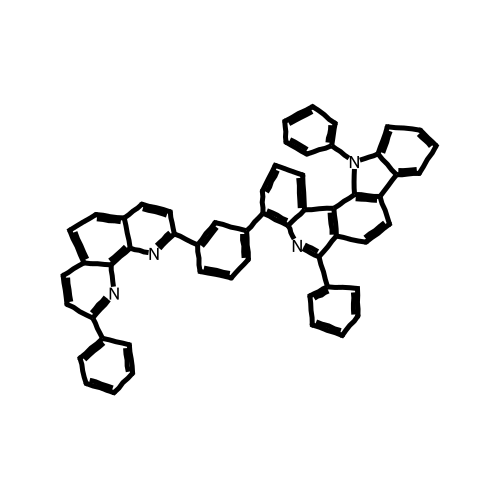 c1ccc(-c2ccc3ccc4ccc(-c5cccc(-c6cccc7c6nc(-c6ccccc6)c6ccc8c9ccccc9n(-c9ccccc9)c8c67)c5)nc4c3n2)cc1